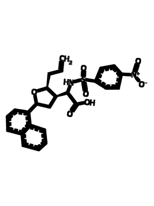 C=CC[C@@H]1OC(c2cccc3ccccc23)C[C@@H]1C(NS(=O)(=O)c1ccc([N+](=O)[O-])cc1)C(=O)O